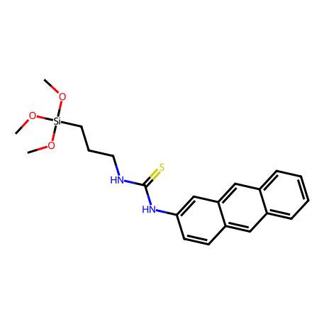 CO[Si](CCCNC(=S)Nc1ccc2cc3ccccc3cc2c1)(OC)OC